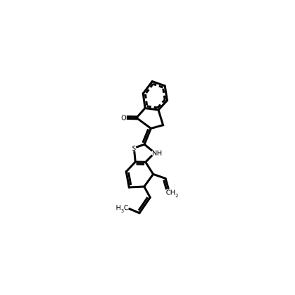 C=CC1C2=C(C=CC1/C=C\C)S/C(=C1/Cc3ccccc3C1=O)N2